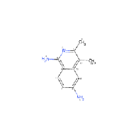 Cc1nc(N)c2ccc(N)cc2c1C